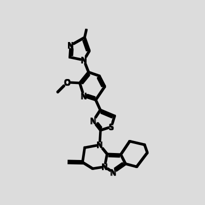 C=C1CN(c2nc(-c3ccc(-n4cnc(C)c4)c(OC)n3)cs2)c2c3c(nn2C1)CCCC3